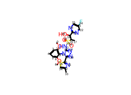 COc1cccc(OC)c1-n1c(NS(=O)(=O)C(C)C(O)c2ncc(F)cn2)nnc1-c1nc(C)cs1